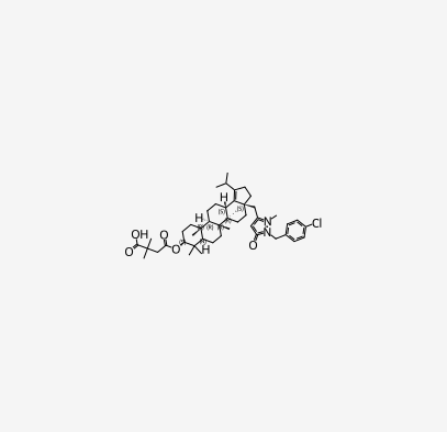 CC(C)C1=C2[C@H]3CC[C@@H]4[C@@]5(C)CC[C@H](OC(=O)CC(C)(C)C(=O)O)C(C)(C)[C@@H]5CC[C@@]4(C)[C@]3(C)CC[C@@]2(Cc2cc(=O)n(Cc3ccc(Cl)cc3)n2C)CC1